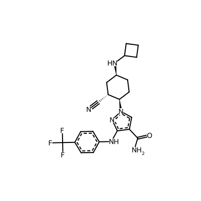 N#C[C@@H]1C[C@@H](NC2CCC2)CC[C@H]1n1cc(C(N)=O)c(Nc2ccc(C(F)(F)F)cc2)n1